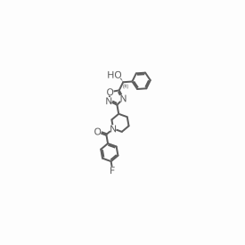 O=C(c1ccc(F)cc1)N1CCCC(c2noc([C@H](O)c3ccccc3)n2)C1